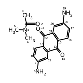 CC(=O)N(C)C.Nc1ccc2c(c1)C(=O)c1ccc(N)cc1C2=O